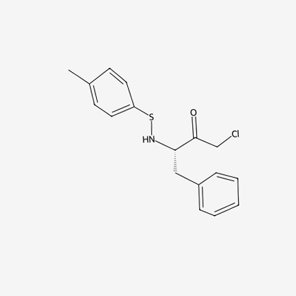 Cc1ccc(SN[C@@H](Cc2ccccc2)C(=O)CCl)cc1